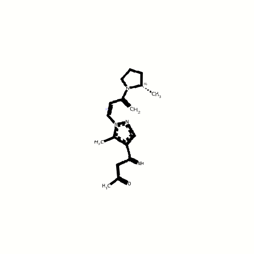 C=C(/C=C\n1ncc(C(=N)CC(C)=O)c1C)N1CCC[C@@H]1C